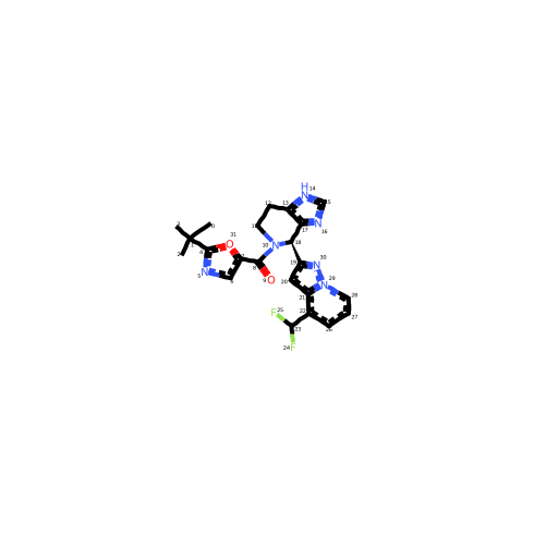 CC(C)(C)c1ncc(C(=O)N2CCc3[nH]cnc3[C@H]2c2cc3c(C(F)F)cccn3n2)o1